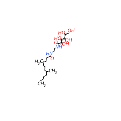 CCCCCC(C)CCCC(C)CCC(=O)NCCNC(=O)[C@H](O)[C@@H](O)[C@H](O)[C@H](O)CO